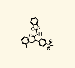 Cc1ccccc1CC(C(=O)Nc1nc2ccccc2o1)c1ccc(S(C)(=O)=O)cc1